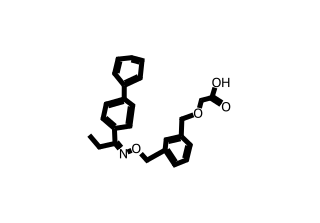 CCC(=NOCc1cccc(COCC(=O)O)c1)c1ccc(-c2ccccc2)cc1